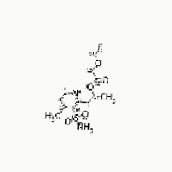 Cc1ccnc(CC(C)OC(=O)COCF)c1S(N)(=O)=O